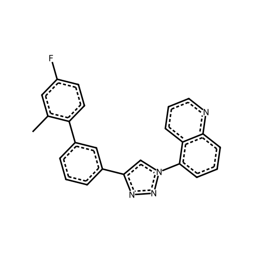 Cc1cc(F)ccc1-c1cccc(-c2cn(-c3cccc4ncccc34)nn2)c1